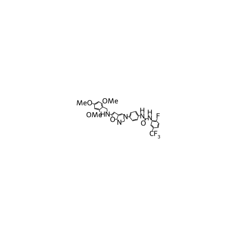 COc1cc(OC)c(CNc2cc3c(o2)=NCN(c2ccc(NC(=O)Nc4cc(C(F)(F)F)ccc4F)cc2)C=3)c(OC)c1